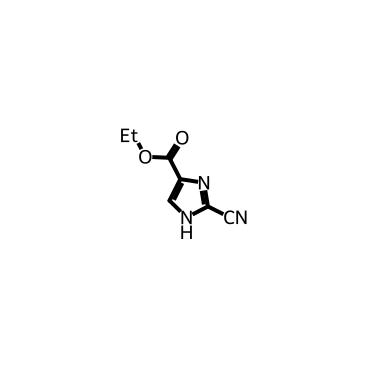 CCOC(=O)c1c[nH]c(C#N)n1